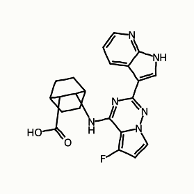 O=C(O)C1C2CCC(CC2)C1Nc1nc(-c2c[nH]c3ncccc23)nn2ccc(F)c12